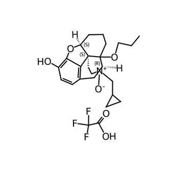 CCCOC12CCC[C@@H]3Oc4c(O)ccc5c4[C@@]31CC[N+]([O-])(CC1CC1)[C@@H]2C5.O=C(O)C(F)(F)F